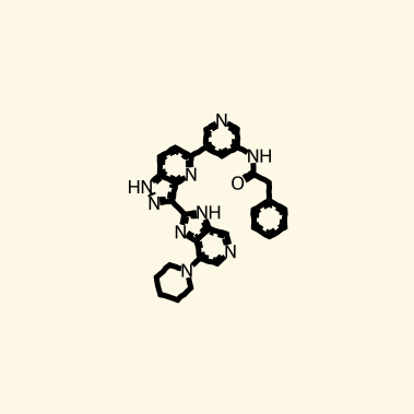 O=C(Cc1ccccc1)Nc1cncc(-c2ccc3[nH]nc(-c4nc5c(N6CCCCC6)cncc5[nH]4)c3n2)c1